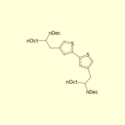 CCCCCCCCCCC(CCCCCCCC)Cc1csc(-c2cc(CC(CCCCCCCC)CCCCCCCCCC)cs2)c1